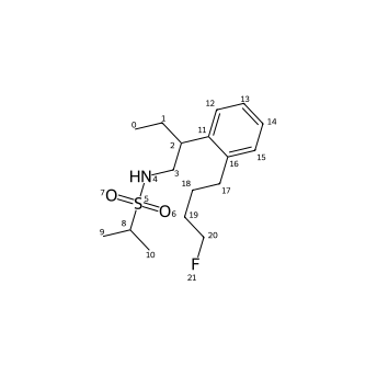 CCC(CNS(=O)(=O)C(C)C)c1ccccc1CCCCF